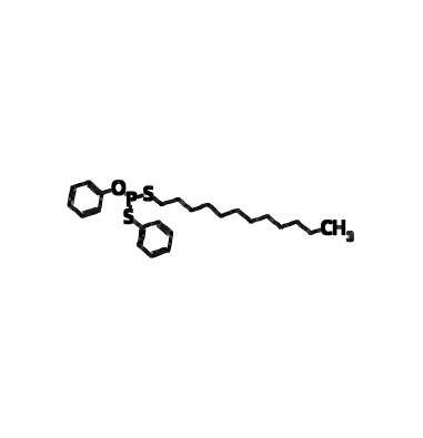 CCCCCCCCCCCCSP(Oc1ccccc1)Sc1ccccc1